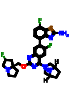 Nc1nc2c(-c3cc4nc(OC[C@@]56CCCN5C[C@H](F)C6)nc(N5C[C@H]6CC[C@@H](C5)N6)c4cc3F)ccc(F)c2s1